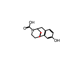 O=C(O)N1CCC23CCCCC2C1Cc1ccc(O)cc13